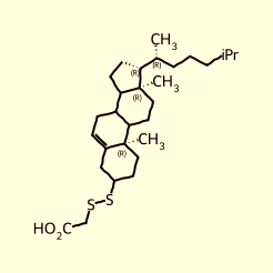 CC(C)CCC[C@@H](C)[C@H]1CCC2C3CC=C4CC(SSCC(=O)O)CC[C@]4(C)C3CC[C@@]21C